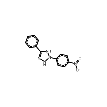 O=[N+]([O-])c1ccc(N2NN=C(c3ccccc3)N2)cc1